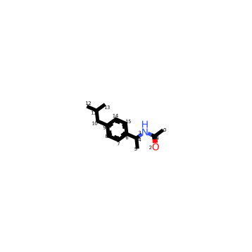 CC(=O)NC(C)c1ccc(CC(C)C)cc1